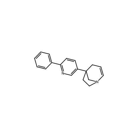 C1=CN2CCC(c3ccc(-c4ccccc4)nc3)(C1)C2